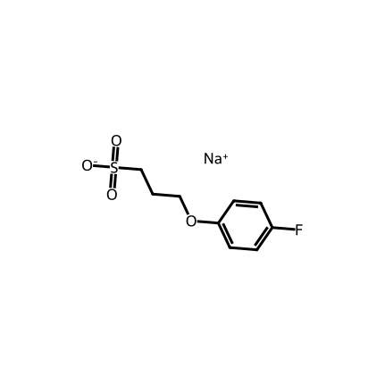 O=S(=O)([O-])CCCOc1ccc(F)cc1.[Na+]